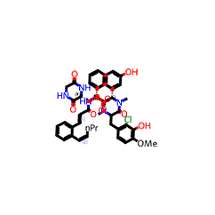 CCC/C=C\c1ccccc1/C=C/C(=O)N[C@H](Cc1ccc(O)cc1)C(=O)N(C)C(Cc1ccc(OC)c(O)c1Cl)C(=O)N(C)[C@@H](Cc1ccccc1)C(=O)OC[C@H]1NC(=O)CNC1=O